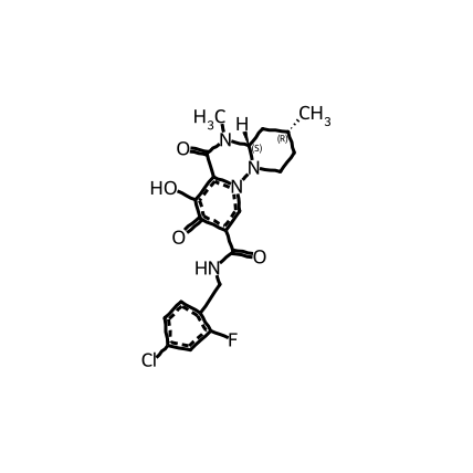 C[C@@H]1CCN2[C@@H](C1)N(C)C(=O)c1c(O)c(=O)c(C(=O)NCc3ccc(Cl)cc3F)cn12